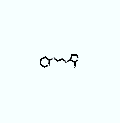 O=C1OC=CC1OCCOC1CCCCO1